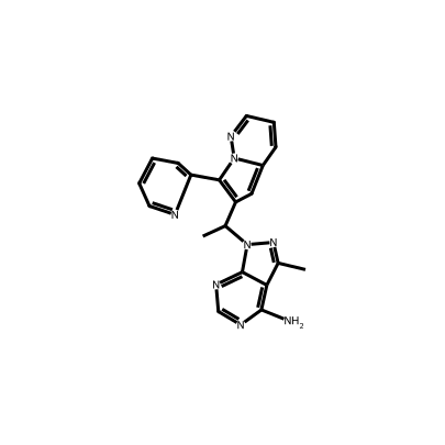 Cc1nn(C(C)c2cc3cccnn3c2-c2ccccn2)c2ncnc(N)c12